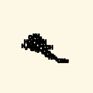 COCCNCc1ccc2cc3c(c(O)c2c1)C(=O)C1=C(O)[C@]2(O)C(=O)C(C(N)=O)=C(O)[C@@H](N(C)C)[C@@H]2C[C@@H]1C3